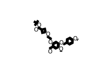 COc1ccc(COc2cc(OCCOC3CC(C(=O)OC(C)(C)C)C3)c(C=O)cc2OC)cc1